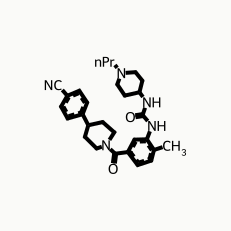 CCCN1CCC(NC(=O)Nc2cc(C(=O)N3CCC(c4ccc(C#N)cc4)CC3)ccc2C)CC1